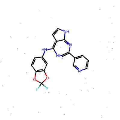 C=C(/N=C1/NC=C/C1=C(/N)Nc1ccc2c(c1)OC(F)(F)O2)c1cccnc1